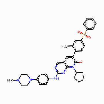 Cc1cc(S(=O)(=O)c2ccccc2)ccc1-c1cc2cnc(Nc3ccc(N4CCN(C)CC4)cc3)nc2n(C2CCCC2)c1=O